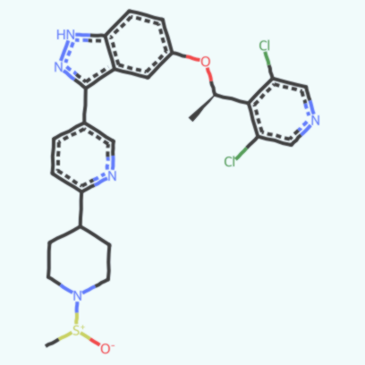 C[C@@H](Oc1ccc2[nH]nc(-c3ccc(C4CCN([S+](C)[O-])CC4)nc3)c2c1)c1c(Cl)cncc1Cl